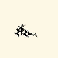 CC(C)c1cnc(Br)cc1Oc1cnc(N)nc1N